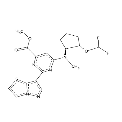 COC(=O)c1cc(N(C)[C@H]2CCC[C@@H]2OC(F)F)nc(-c2cnn3ccsc23)n1